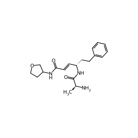 C[C@H](N)C(=O)N[C@H](/C=C/C(=O)NC1CCOC1)CCc1ccccc1